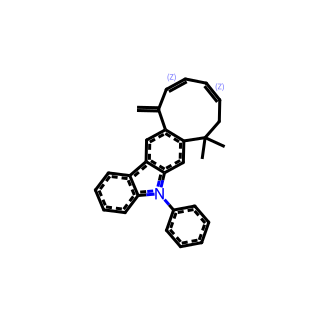 C=C1/C=C\C=C/CC(C)(C)c2cc3c(cc21)c1ccccc1n3-c1ccccc1